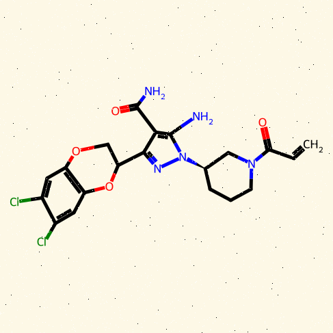 C=CC(=O)N1CCC[C@@H](n2nc(C3COc4cc(Cl)c(Cl)cc4O3)c(C(N)=O)c2N)C1